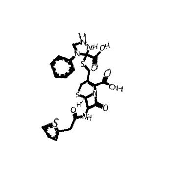 O=C(Cc1cccs1)NC1C(=O)N2C(C(=O)O)=C(CSC3(C(=O)O)NNCN3c3ccccc3)CS[C@H]12